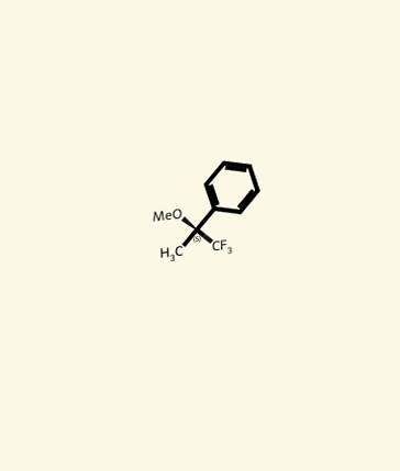 CO[C@@](C)(c1ccccc1)C(F)(F)F